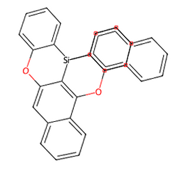 c1ccc([Si]23c4ccccc4Oc4cc5ccccc5c(c42)Oc2c3ccc3ccccc23)cc1